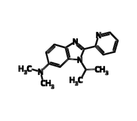 CC(C)n1c(-c2ccccn2)nc2ccc(N(C)C)cc21